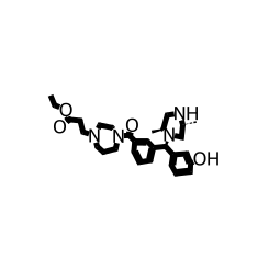 CCOC(=O)CCN1CCCN(C(=O)c2cccc([C@H](c3cccc(O)c3)N3C[C@@H](C)NC[C@@H]3C)c2)CC1